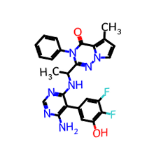 Cc1ccn2nc(C(C)Nc3ncnc(N)c3-c3cc(O)c(F)c(F)c3)n(-c3ccccc3)c(=O)c12